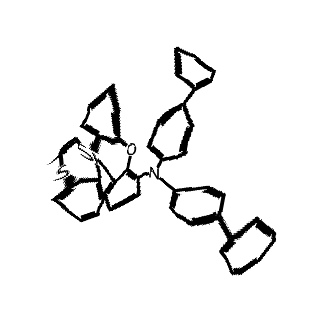 c1ccc(-c2ccc(N(c3ccc(-c4ccccc4)cc3)c3cccc4c3Oc3ccccc3[Si]43c4ccccc4Sc4ccccc43)cc2)cc1